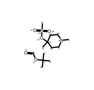 CC(C)(C)OC=O.CN1CCC(C)(OS(C)(=O)=O)CC1